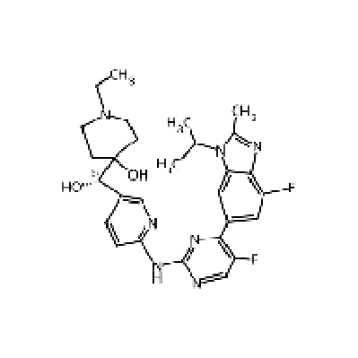 CCN1CCC(O)([C@@H](O)c2ccc(Nc3ncc(F)c(-c4cc(F)c5nc(C)n(C(C)C)c5c4)n3)nc2)CC1